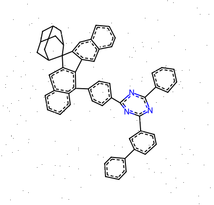 c1ccc(-c2cccc(-c3nc(-c4ccccc4)nc(-c4ccc(-c5c6c(cc7ccccc57)C5(c7cc8ccccc8cc7-6)C6CC7CC(C6)CC5C7)cc4)n3)c2)cc1